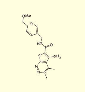 COCC/C=C\C(=C/C(C)C)CNC(=O)c1sc2nnc(C)c(C)c2c1N